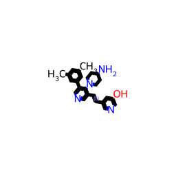 Cc1cc(C)cc(-c2cncc(/C=C/c3cncc(O)c3)c2N2CCC(N)CC2)c1